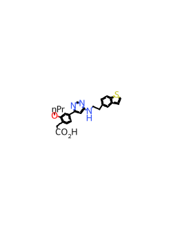 CCCOc1cc(-c2cc(NCCc3ccc4sccc4c3)ncn2)ccc1CC(=O)O